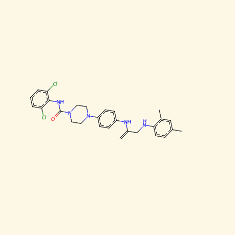 C=C(CNc1ccc(C)cc1C)Nc1ccc(N2CCN(C(=O)Nc3c(Cl)cccc3Cl)CC2)cc1